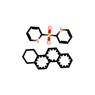 O=S(=O)(C1C=CC=CS1)C1C=CC=CS1.c1ccc2c(c1)ccc1c3c(ccc12)CCCC3